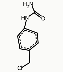 NC(=O)Nc1ccc(CCl)cc1